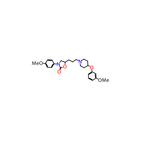 COc1ccc(N2CC(CCCN3CCC(Oc4cccc(OC)c4)CC3)OC2=O)cc1